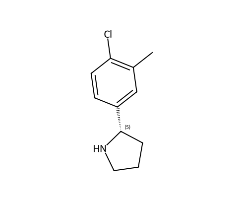 Cc1cc([C@@H]2CCCN2)ccc1Cl